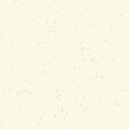 Br.CC1NCc2c(ccc3c(Cl)ccc(Cl)c23)C1c1ccccc1